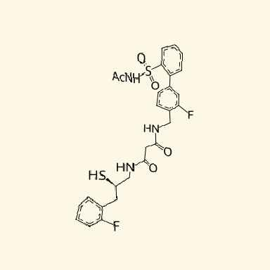 CC(=O)NS(=O)(=O)c1ccccc1-c1ccc(CNC(=O)CC(=O)NC[C@H](S)Cc2ccccc2F)c(F)c1